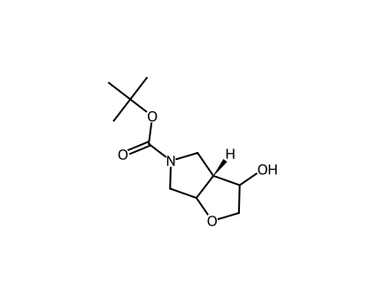 CC(C)(C)OC(=O)N1CC2OCC(O)[C@H]2C1